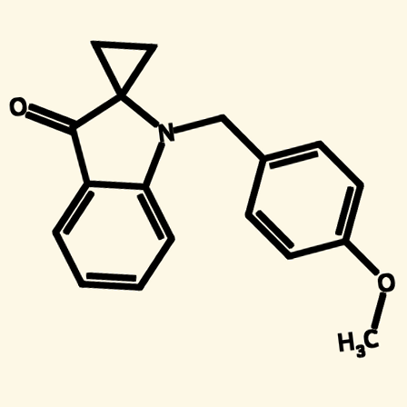 COc1ccc(CN2c3ccccc3C(=O)C23CC3)cc1